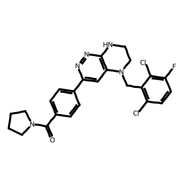 O=C(c1ccc(-c2cc3c(nn2)NCCN3Cc2c(Cl)ccc(F)c2Cl)cc1)N1CCCC1